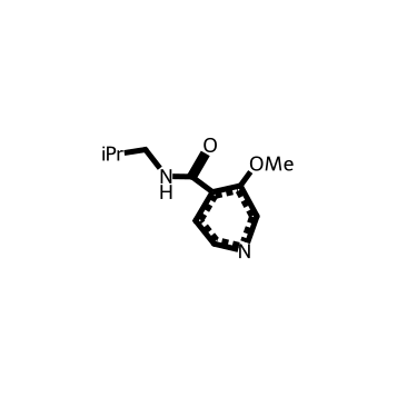 COc1cnccc1C(=O)NCC(C)C